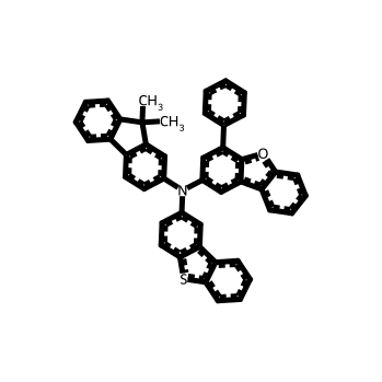 CC1(C)c2ccccc2-c2ccc(N(c3ccc4sc5ccccc5c4c3)c3cc(-c4ccccc4)c4oc5ccccc5c4c3)cc21